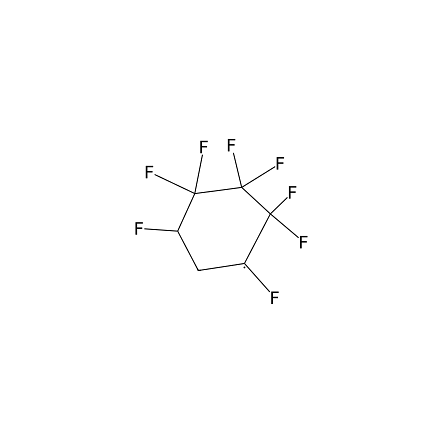 F[C]1CC(F)C(F)(F)C(F)(F)C1(F)F